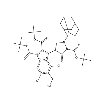 CC(C)(C)OC(=O)c1c(C2CN(C3C4CC5CC(C4)CC3C5)N(C(=O)OC(C)(C)C)C2=O)c2c(Cl)c(CO)c(Cl)cc2n1C(=O)OC(C)(C)C